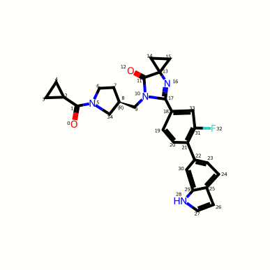 O=C(C1CC1)N1CC[C@@H](CN2C(=O)C3(CC3)N=C2c2ccc(-c3ccc4cc[nH]c4c3)c(F)c2)C1